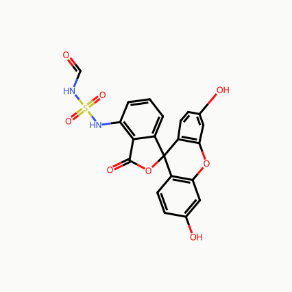 O=CNS(=O)(=O)Nc1cccc2c1C(=O)OC21c2ccc(O)cc2Oc2cc(O)ccc21